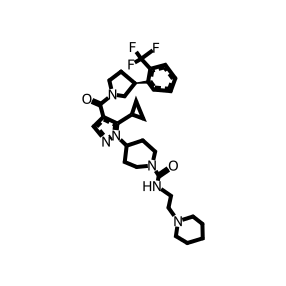 O=C(NCCN1CCCCC1)N1CCC(n2ncc(C(=O)N3CC[C@@H](c4ccccc4C(F)(F)F)C3)c2C2CC2)CC1